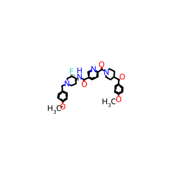 COc1ccc(CN2CC[C@@H](NC(=O)c3ccc(C(=O)N4CCC(C(=O)c5ccc(OC)cc5)CC4)nc3)[C@@H](F)C2)cc1